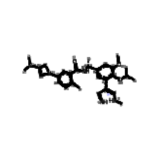 CN/C=C(\C=N)c1cc([C@@H](C)NC(=O)c2cc(N3CC(N(C)C)C3)ccc2C)cc(OC)c1OC(C)C